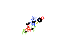 COc1ccc(Sc2nc(N)nc3c2ncn3CC(C)OCP(=O)(OCC(F)(F)F)OCC(F)(F)F)cc1